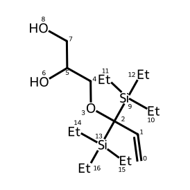 C=CC(OCC(O)CO)([Si](CC)(CC)CC)[Si](CC)(CC)CC